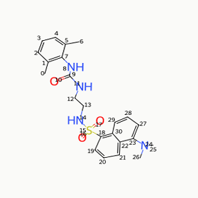 Cc1cccc(C)c1NC(=O)NCCNS(=O)(=O)c1cccc2c(N(C)C)cccc12